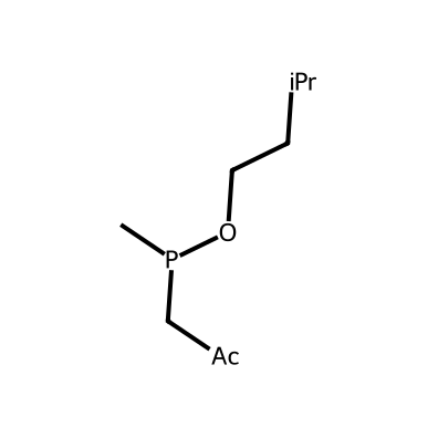 CC(=O)CP(C)OCCC(C)C